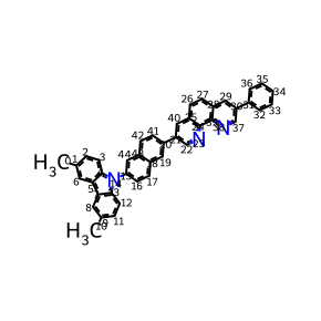 Cc1ccc2c(c1)c1cc(C)ccc1n2-c1ccc2cc(-c3cnc4c(ccc5cc(-c6ccccc6)cnc54)c3)ccc2c1